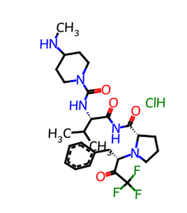 CNC1CCN(C(=O)N[C@H](C(=O)NC(=O)[C@@H]2CCCN2[C@@H](Cc2ccccc2)C(=O)C(F)(F)F)C(C)C)CC1.Cl